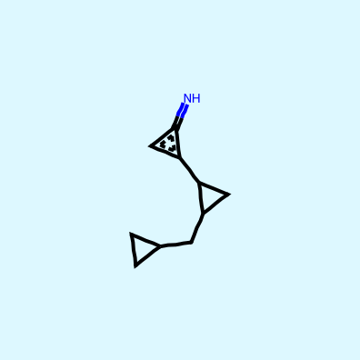 N=c1cc1C1CC1CC1CC1